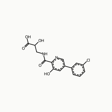 O=C(NCC(O)C(=O)O)c1ncc(-c2cccc(Cl)c2)cc1O